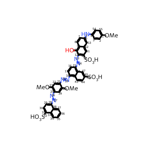 COc1ccc(Nc2ccc3c(O)c(N=Nc4ccc(N=Nc5cc(OC)c(N=Nc6ccc(S(=O)(=O)O)c7ccccc67)cc5OC)c5ccc(S(=O)(=O)O)cc45)c(S(=O)(=O)O)cc3c2)cc1